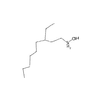 CCCCCCC(CC)CC[SiH2]O